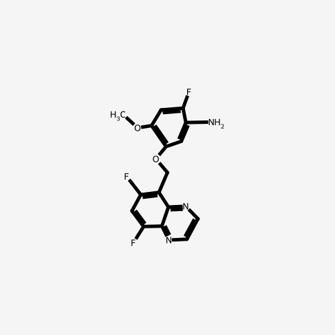 COc1cc(F)c(N)cc1OCc1c(F)cc(F)c2nccnc12